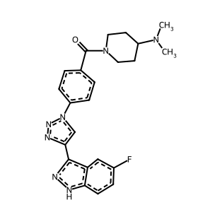 CN(C)C1CCN(C(=O)c2ccc(-n3cc(-c4n[nH]c5ccc(F)cc45)nn3)cc2)CC1